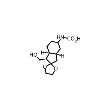 O=C(O)NC1CC[C@@H]2[C@H](C1)CC1(OCCO1)[C@H]2CO